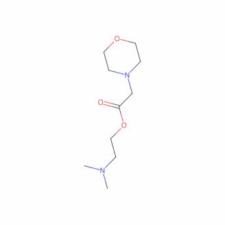 CN(C)CCOC(=O)CN1CCOCC1